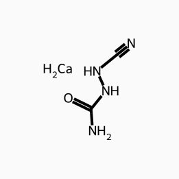 N#CNNC(N)=O.[CaH2]